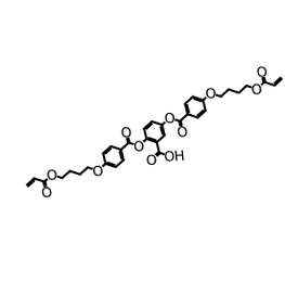 C=CC(=O)OCCCCOc1ccc(C(=O)Oc2ccc(OC(=O)c3ccc(OCCCCOC(=O)C=C)cc3)c(C(=O)O)c2)cc1